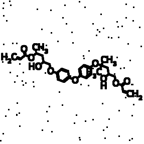 C=CC(=O)OCC(O)CC(C)(C)Oc1ccc(Oc2ccc(OCC(O)C[C@@H](C)OC(=O)C=C)cc2)cc1